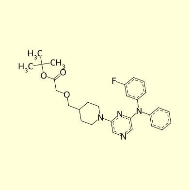 CC(C)(C)OC(=O)COCC1CCN(c2cncc(N(c3ccccc3)c3cccc(F)c3)n2)CC1